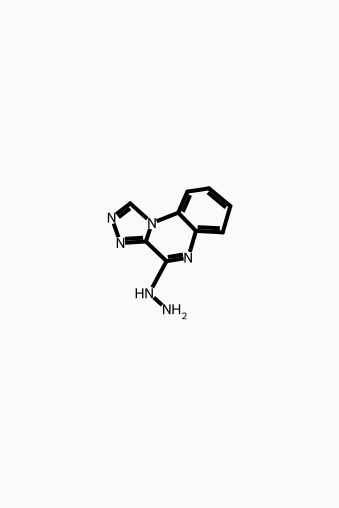 NNc1nc2ccccc2n2cnnc12